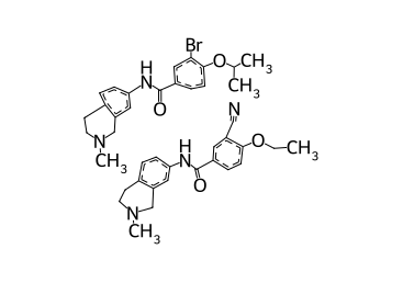 CC(C)Oc1ccc(C(=O)Nc2ccc3c(c2)CN(C)CC3)cc1Br.CCOc1ccc(C(=O)Nc2ccc3c(c2)CN(C)CC3)cc1C#N